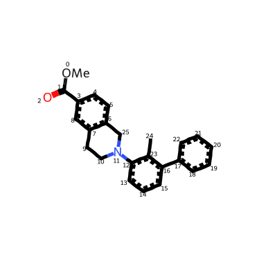 COC(=O)c1ccc2c(c1)CCN(c1cccc(-c3ccccc3)c1C)C2